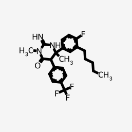 CCCCCc1cc(C2(C)NC(=N)N(C)C(=O)C2c2ccc(C(F)(F)F)cc2)ccc1F